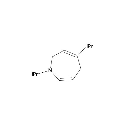 CC(C)C1=CCN(C(C)C)C=CC1